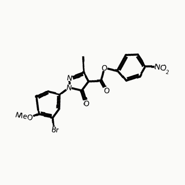 COc1ccc(N2N=C(C)C(C(=O)Oc3ccc([N+](=O)[O-])cc3)C2=O)cc1Br